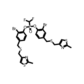 Cc1nc(CSCc2ccc(OP(=O)(Oc3ccc(CSCc4csc(C)n4)cc3Br)C(F)F)c(Br)c2)cs1